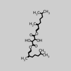 C=C(C=COC(=O)C(O)C(O)C(=O)OC=CC(=C)CCCC(C)C)CCCC(C)C